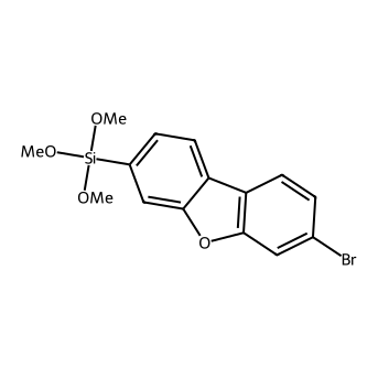 CO[Si](OC)(OC)c1ccc2c(c1)oc1cc(Br)ccc12